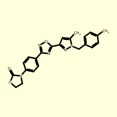 Cc1ccc(Cn2nc(-c3nc(-c4ccc(N5CCOC5=O)cc4)no3)cc2C)cc1